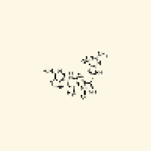 Cc1c[nH]c(=O)[nH]c1=O.Nc1cc[nH]c(=O)n1.Nc1nc2[nH]cnc2c(=O)[nH]1.Nc1ncnc2[nH]cnc12